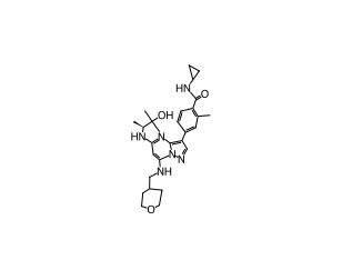 Cc1cc(-c2cnn3c(NCC4CCOCC4)cc(N[C@@H](C)C(C)(C)O)nc23)ccc1C(=O)NC1CC1